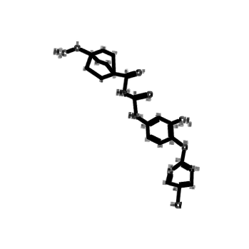 COC12CCC(C(=O)NC(=O)Nc3ccc(Oc4ncc(Cl)cn4)c(C)c3)(CC1)CC2